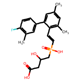 Cc1cc(C)c(C=CP(=O)(O)CC(O)CC(=O)O)c(-c2ccc(F)c(C)c2)c1